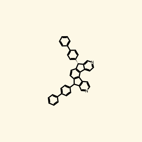 c1ccc(-c2ccc(C3c4cnccc4-c4c3ccc3c4-c4ccncc4[C@H]3c3ccc(-c4ccccc4)cc3)cc2)cc1